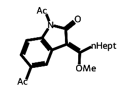 CCCCCCCC(OC)=C1C(=O)N(C(C)=O)c2ccc(C(C)=O)cc21